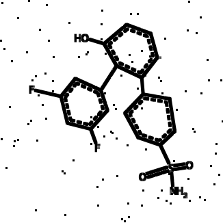 NS(=O)(=O)c1ccc(-c2[c]ccc(O)c2-c2cc(F)cc(F)c2)cc1